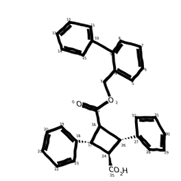 O=C(OCc1ccccc1-c1ccccc1)C1[C@@H](c2ccccc2)[C@H](C(=O)O)[C@H]1c1ccccc1